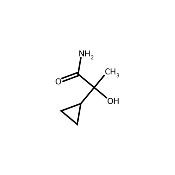 CC(O)(C(N)=O)C1CC1